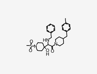 Cc1ccc(CC2CCN(C(=O)C(NCc3ccccc3)C3(O)CCN(S(C)(=O)=O)CC3)CC2)cc1